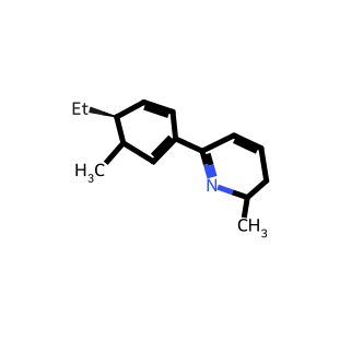 CC[C@H]1C=CC(C2=NC(C)CC=C2)=CC1C